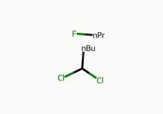 CCCCC(Cl)Cl.CCCF